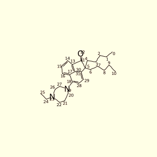 CCCCCC1(CCCCC)C(=O)c2cccc3c(N4CCCN(CC)CC4)ccc1c23